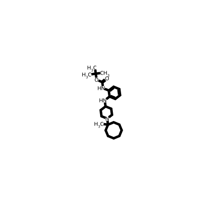 CC(C)(C)OC(=O)Nc1ccccc1NC1CCN(C2(C)CCCCCCC2)CC1